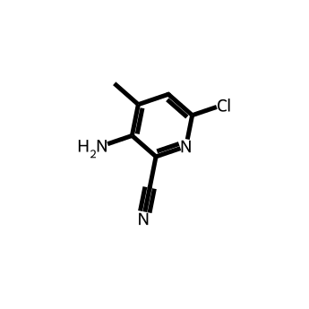 Cc1cc(Cl)nc(C#N)c1N